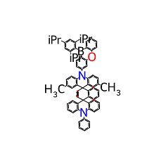 Cc1ccc2c(c1)C1(c3cc(C)ccc3N2c2ccc3c(c2)Oc2ccccc2B3c2c(C(C)C)cc(C(C)C)cc2C(C)C)c2ccccc2C2(c3ccccc3N(c3ccccc3)c3ccccc32)c2ccccc21